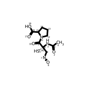 CC(=O)N[C@@](S)(CN=O)C(=O)N1CCCC1C(=O)O